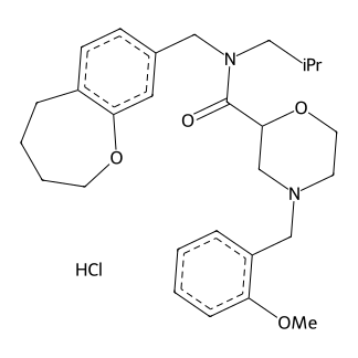 COc1ccccc1CN1CCOC(C(=O)N(Cc2ccc3c(c2)OCCCC3)CC(C)C)C1.Cl